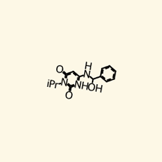 CC(C)n1c(=O)cc(NC(O)c2ccccc2)[nH]c1=O